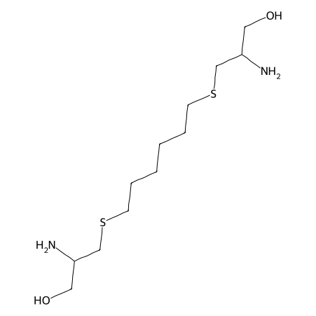 NC(CO)CSCCCCCCSCC(N)CO